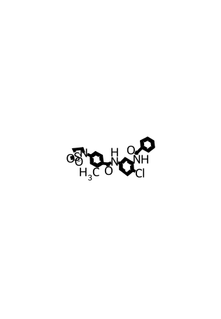 Cc1cc(N2CCS2(=O)=O)ccc1C(=O)Nc1ccc(Cl)c(NC(=O)c2ccccc2)c1